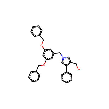 OCc1cn(Cc2cc(OCc3ccccc3)cc(OCc3ccccc3)c2)cc1-c1ccccc1